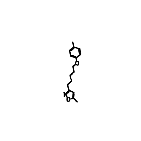 Cc1ccc(OCCCCCc2cc(C)on2)cc1